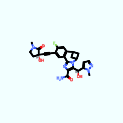 CN1CC[C@](O)(C#Cc2cc3c(cc2F)C2CC(C2)n2c-3nc(C(N)=O)c2[C@H](O)c2ccnn2C)C1=O